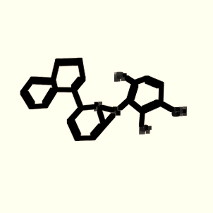 CC(C)c1ccc(O)c(C(C)C)c1N1C2=CC=CC(c3cccc4ccccc34)N21